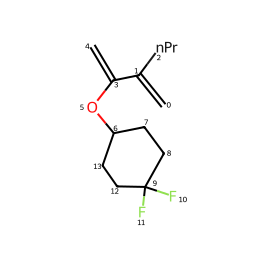 C=C(CCC)C(=C)OC1CCC(F)(F)CC1